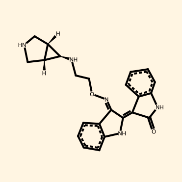 O=C1Nc2ccccc2/C1=C1/Nc2ccccc2/C1=N\OCCN[C@H]1[C@@H]2CNC[C@@H]21